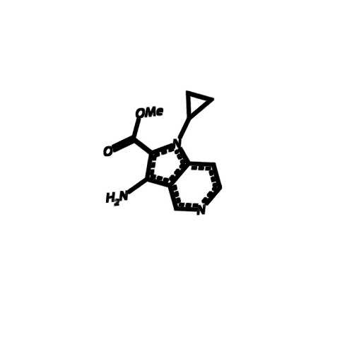 COC(=O)c1c(N)c2cnccc2n1C1CC1